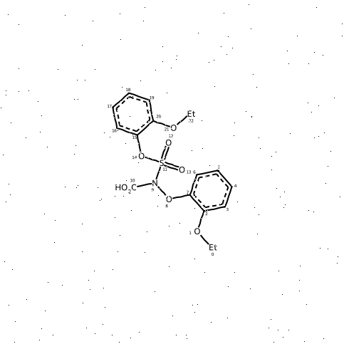 CCOc1ccccc1ON(C(=O)O)S(=O)(=O)Oc1ccccc1OCC